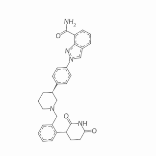 NC(=O)c1cccc2cn(-c3ccc([C@@H]4CCCN(Cc5ccccc5C5CCC(=O)NC5=O)C4)cc3)nc12